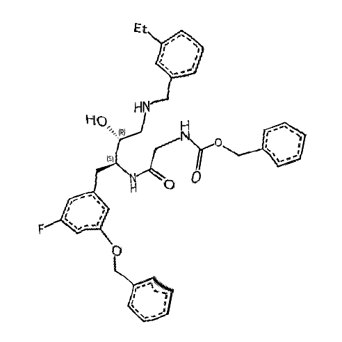 CCc1cccc(CNC[C@@H](O)[C@H](Cc2cc(F)cc(OCc3ccccc3)c2)NC(=O)CNC(=O)OCc2ccccc2)c1